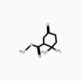 COC(=O)C1CC(=O)CCC1(C)C